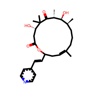 C/C1=C/CC(C=Cc2ccncc2)OC(=O)C[C@H](O)C(C)(C)C(=O)[C@H](C)[C@@H](O)[C@@H](C)CCC1